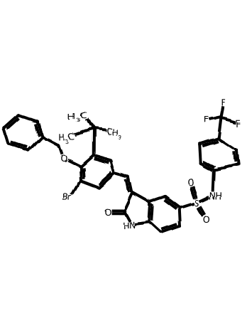 CC(C)(C)c1cc(C=C2C(=O)Nc3ccc(S(=O)(=O)Nc4ccc(C(F)(F)F)cc4)cc32)cc(Br)c1OCc1ccccc1